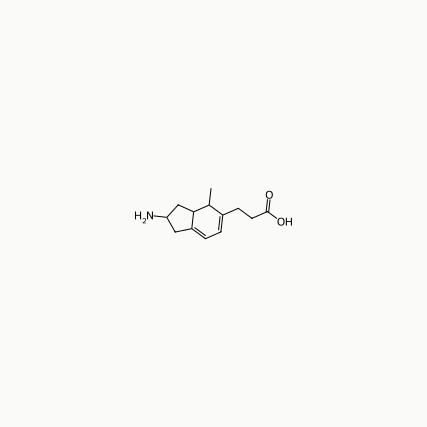 CC1C(CCC(=O)O)=CC=C2CC(N)CC21